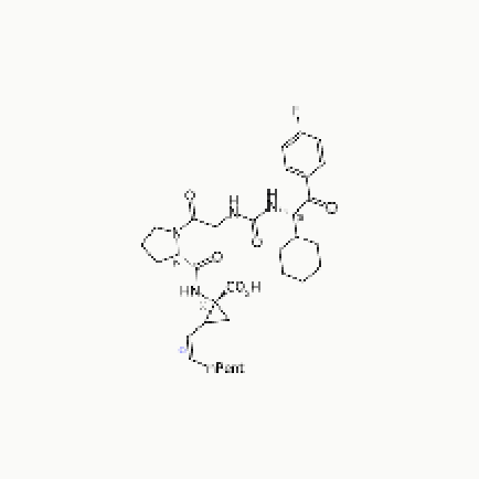 CCCCC/C=C\C1C[C@]1(NC(=O)[C@@H]1CCCN1C(=O)CNC(=O)N[C@H](C(=O)c1ccc(F)cc1)C1CCCCC1)C(=O)O